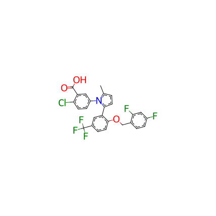 Cc1ccc(-c2cc(C(F)(F)F)ccc2OCc2ccc(F)cc2F)n1-c1ccc(Cl)c(C(=O)O)c1